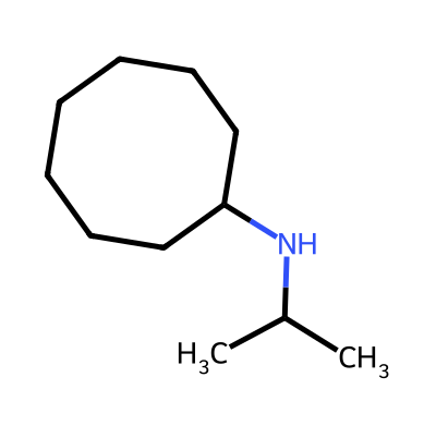 CC(C)NC1CCCCCCC1